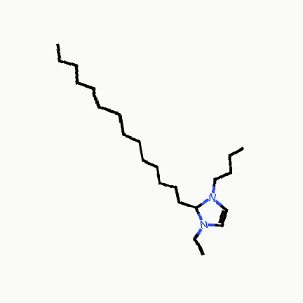 CCCCCCCCCCCCCCC1N(CC)C=CN1CCCC